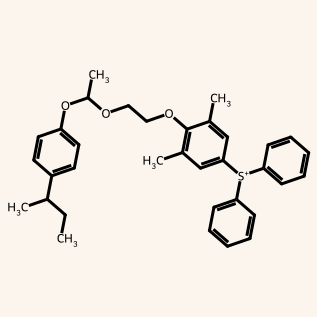 CCC(C)c1ccc(OC(C)OCCOc2c(C)cc([S+](c3ccccc3)c3ccccc3)cc2C)cc1